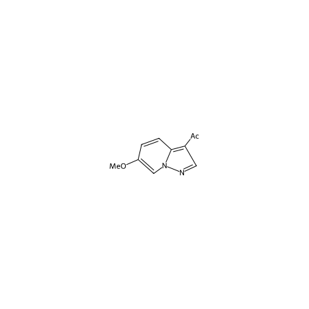 COc1ccc2c(C(C)=O)cnn2c1